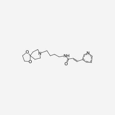 O=C(C=Cc1cccnc1)NCCCCN1CCC2(CC1)OCCO2